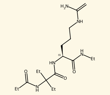 C=C(N)NCCC[C@H](NC(=O)C(CC)(CC)NC(=O)CC)C(=O)NCC